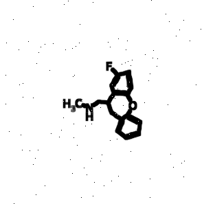 CNCC1Cc2ccccc2Oc2ccc(F)cc21